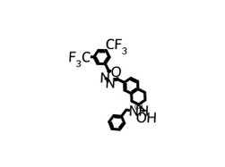 OC[C@]1(NCc2ccccc2)CCc2ccc(-c3nnc(-c4cc(C(F)(F)F)cc(C(F)(F)F)c4)o3)cc2C1